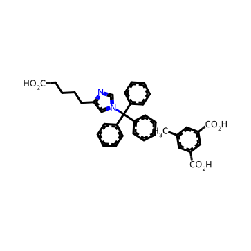 Cc1cc(C(=O)O)cc(C(=O)O)c1.O=C(O)CCCCc1cn(C(c2ccccc2)(c2ccccc2)c2ccccc2)cn1